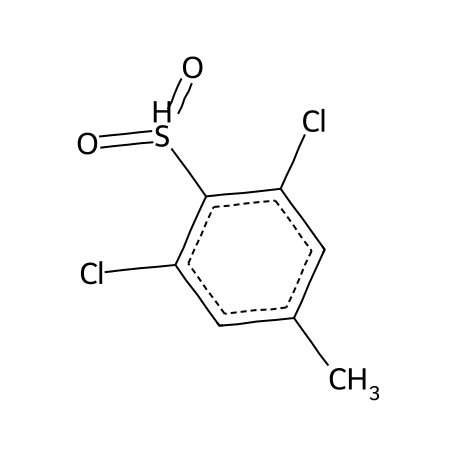 Cc1cc(Cl)c([SH](=O)=O)c(Cl)c1